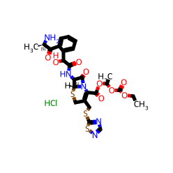 CCOC(=O)OC(C)OC(=O)C1=C(CSc2ncns2)CS[C@H]2C(NC(=O)C(O)c3ccccc3C(=O)[C@H](C)N)C(=O)N12.Cl